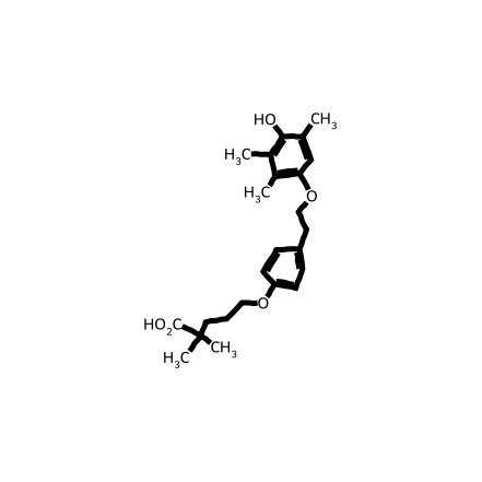 Cc1cc(OCCc2ccc(OCCCC(C)(C)C(=O)O)cc2)c(C)c(C)c1O